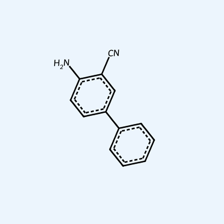 N#Cc1cc(-c2ccccc2)ccc1N